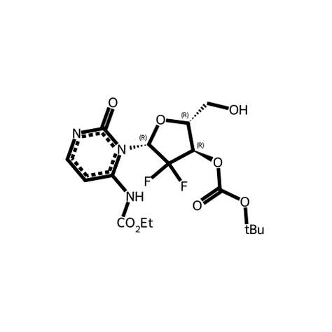 CCOC(=O)Nc1ccnc(=O)n1[C@@H]1O[C@H](CO)[C@@H](OC(=O)OC(C)(C)C)C1(F)F